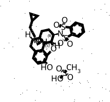 CS(=O)(=O)O.O=S1(=O)c2ccccc2S(=O)(=O)N1[C@@H]1CCC2(O)[C@H]3Cc4ccc(O)c5c4[C@@]2(CCN3CC2CC2)[C@H]1O5